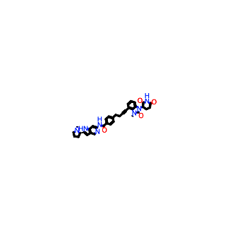 CN1CCC[C@@H]1c1cc2cnc(NC(=O)c3ccc(CCC#Cc4cccc5c4n(C)c(=O)n5C4CCC(=O)NC4=O)cc3)cc2[nH]1